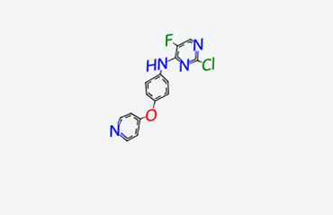 Fc1cnc(Cl)nc1Nc1ccc(Oc2ccncc2)cc1